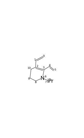 C=CC1=C(C=C)N(C(C)C)CCC1